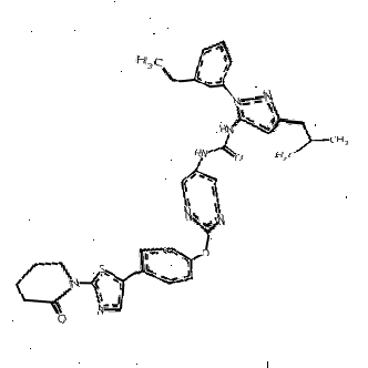 CCc1cccc(-n2nc(CC(C)C)cc2NC(=O)Nc2cnc(Oc3ccc(-c4cnc(N5CCCCC5=O)s4)cc3)nc2)c1